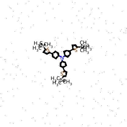 [CH3][Sn]([CH3])([CH3])[c]1ccc(-c2ccc(N(c3ccc(-c4cc[c]([Sn]([CH3])([CH3])[CH3])s4)cc3)c3ccc(-c4cc[c]([Sn]([CH3])([CH3])[CH3])s4)cc3)cc2)s1